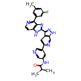 Cc1cc(F)cc(-c2nccc3[nH]c(-c4n[nH]c5cnc(-c6cncc(NC(=O)C(C)C)c6)cc45)nc23)c1